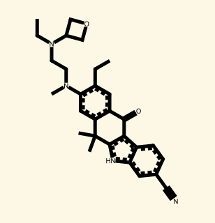 CCc1cc2c(cc1N(C)CCN(CC)C1COC1)C(C)(C)c1[nH]c3cc(C#N)ccc3c1C2=O